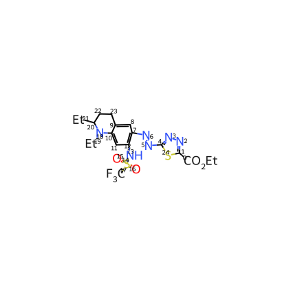 CCOC(=O)c1nnc(N=Nc2cc3c(cc2NS(=O)(=O)C(F)(F)F)N(CC)C(CC)CC3)s1